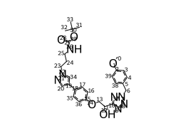 COc1ccc(Cn2nnc([C@H](O)COc3ccc(-c4cnn(CCCNC(=O)OC(C)(C)C)c4)cc3)n2)cc1